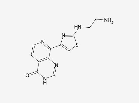 NCCNc1nc(-c2nccc3c(=O)[nH]cnc23)cs1